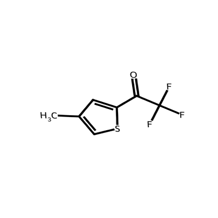 Cc1csc(C(=O)C(F)(F)F)c1